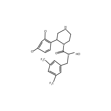 CN(Cc1cc(C(F)(F)F)cc(C(F)(F)F)c1)C(=O)N1CCNCC1c1ccc(Cl)cc1Cl.Cl